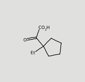 CCC1(C(=O)C(=O)O)CCCC1